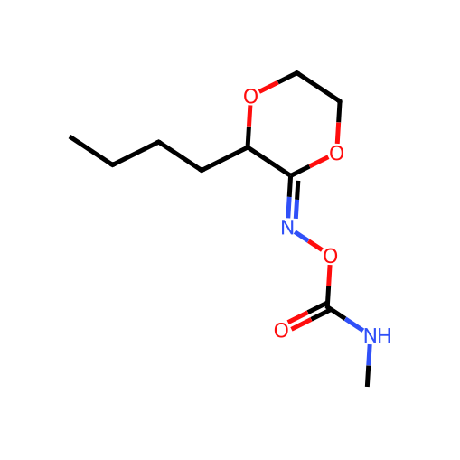 CCCCC1OCCOC1=NOC(=O)NC